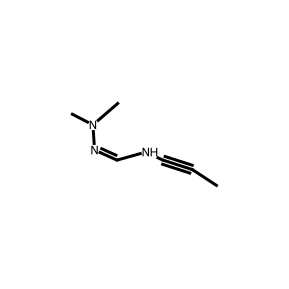 CC#CN/C=N\N(C)C